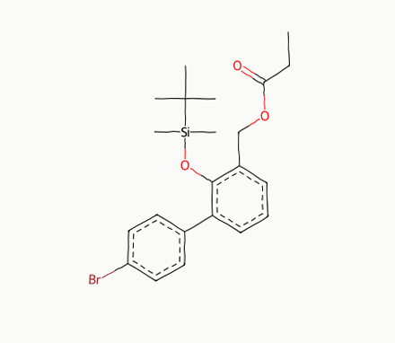 CCC(=O)OCc1cccc(-c2ccc(Br)cc2)c1O[Si](C)(C)C(C)(C)C